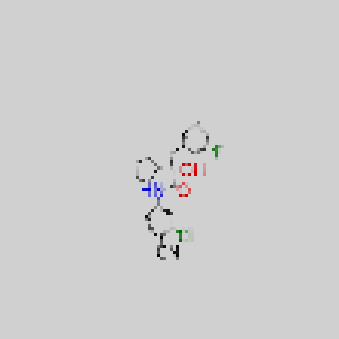 N#Cc1ccc(NC(=O)C(O)(Cc2cccc(F)c2)C2CCCC2)cc1Cl